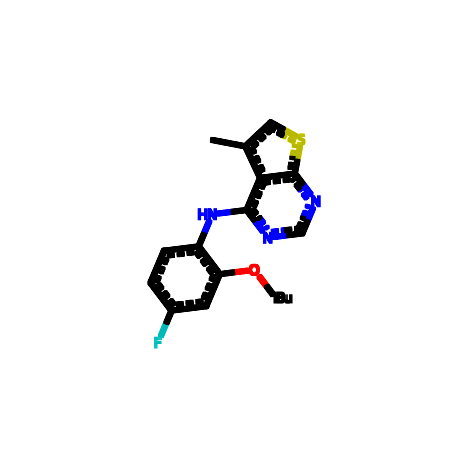 CCC(C)Oc1cc(F)ccc1Nc1ncnc2scc(C)c12